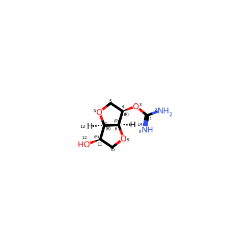 N=C(N)O[C@@H]1CO[C@H]2[C@@H]1OC[C@H]2O